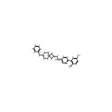 Fc1ccc(Cl)c(-c2ccc(NCC3CC4(CCN(Cc5ccccc5)CC4)C3)nn2)c1